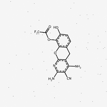 N#Cc1c(N)nc2c(c1N)Cc1ccc(O)c(OC(=O)C(F)(F)F)c1O2